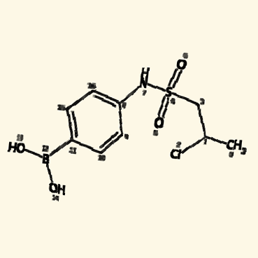 CC(Cl)CS(=O)(=O)Nc1ccc(B(O)O)cc1